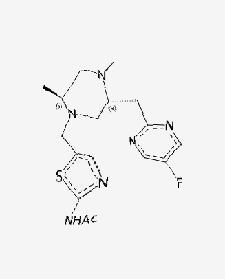 CC(=O)Nc1ncc(CN2C[C@@H](Cc3ncc(F)cn3)N(C)C[C@@H]2C)s1